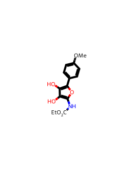 CCOC(=O)Nc1oc(-c2ccc(OC)cc2)c(O)c1O